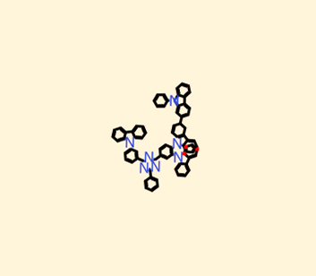 C1=CC(c2ccc3c4ccccc4n(-c4ccccc4)c3c2)Cc2c1n(-c1ccc(-c3nc(-c4ccccc4)nc(-c4cccc(-n5c6ccccc6c6ccccc65)c4)n3)cc1-n1c3ccccc3c3ccccc31)c1ccccc21